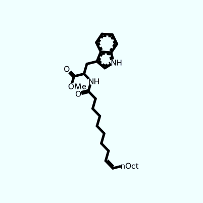 CCCCCCCC/C=C\CCCCCCCC(=O)NC(Cc1c[nH]c2ccccc12)C(=O)OC